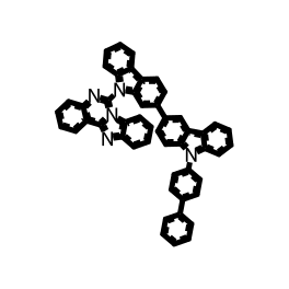 c1ccc(-c2ccc(-n3c4ccccc4c4cc(-c5ccc6c7ccccc7n(-c7nc8ccccc8c8nc9ccccc9n78)c6c5)ccc43)cc2)cc1